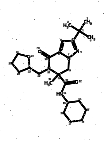 CC(C)(C)c1cc2n(n1)CC(C)(C(=O)NC1CCCCC1)N(CC1CCCO1)C2=O